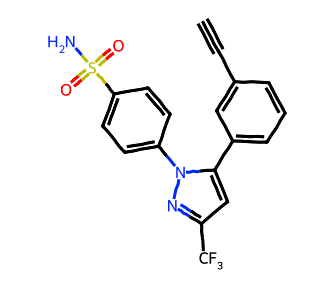 C#Cc1cccc(-c2cc(C(F)(F)F)nn2-c2ccc(S(N)(=O)=O)cc2)c1